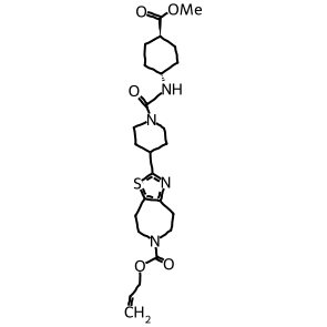 C=CCOC(=O)N1CCc2nc(C3CCN(C(=O)N[C@H]4CC[C@H](C(=O)OC)CC4)CC3)sc2CC1